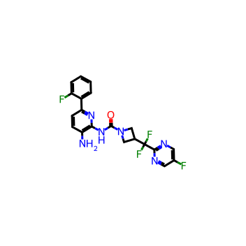 Nc1ccc(-c2ccccc2F)nc1NC(=O)N1CC(C(F)(F)c2ncc(F)cn2)C1